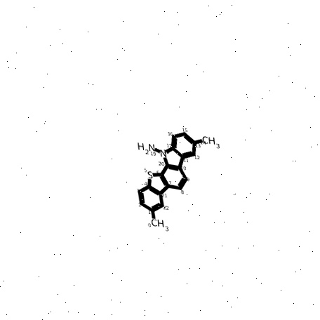 Cc1ccc2sc3c(ccc4c5cc(C)ccc5n(N)c43)c2c1